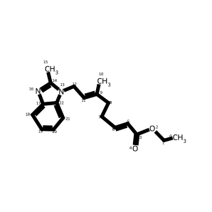 CCOC(=O)/C=C/CC/C(C)=C/Cn1c(C)nc2ccccc21